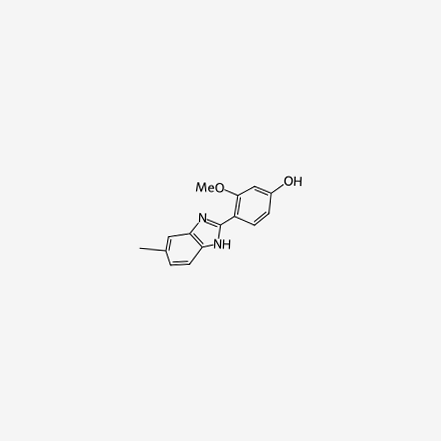 COc1cc(O)ccc1-c1nc2cc(C)ccc2[nH]1